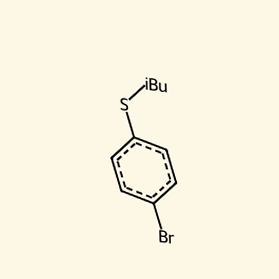 CCC(C)Sc1ccc(Br)cc1